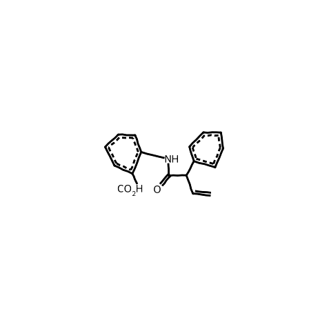 C=CC(C(=O)Nc1ccccc1C(=O)O)c1ccccc1